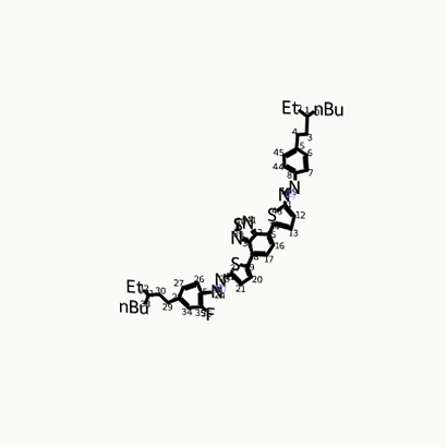 CCCCC(CC)CCc1ccc(/N=N/c2ccc(-c3ccc(-c4ccc(/N=N/c5ccc(CCC(CC)CCCC)cc5F)s4)c4nsnc34)s2)cc1